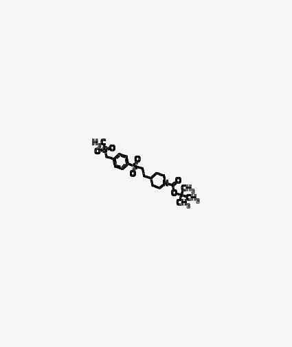 CC(C)(C)OC(=O)N1CCC(CCS(=O)(=O)c2ccc(CS(C)(=O)=O)cc2)CC1